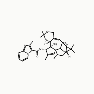 CC1=C[C@]23C(O)[C@@H](C=C4COC(C)(C)O[C@H]4[C@]2(O)[C@H]1OC(=O)c1c(C)nc2ccccn12)[C@H]1[C@@H](C[C@H]3C)C1(C)C